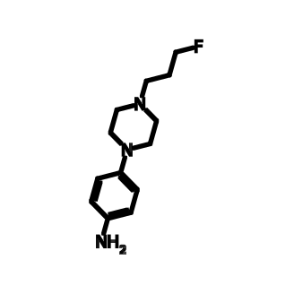 Nc1ccc(N2CCN(CCCF)CC2)cc1